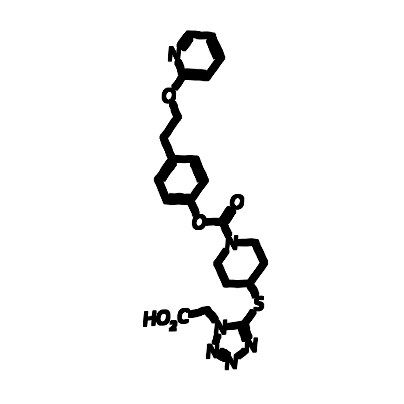 O=C(O)Cn1nnnc1SC1CCN(C(=O)Oc2ccc(CCOc3ccccn3)cc2)CC1